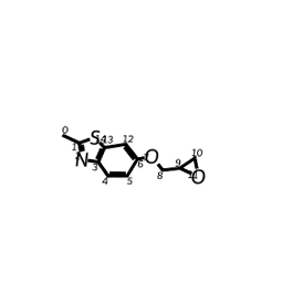 Cc1nc2ccc(OCC3CO3)cc2s1